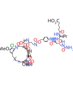 COc1cc2cc(c1Cl)N(C)C(=O)C[C@H](OC(=O)[C@H](C)N(C)C(=O)CCN(C)C(=O)OCc1ccc(NC(=O)[C@H](CCCNC(N)=O)NC(=O)[C@@H](NC(=O)CCCCC(=O)O)C(C)C)cc1)[C@]1(C)O[C@H]1[C@H](C)[C@@H]1C[C@@](O)(NC(=O)O1)[C@H](OC)/C=C/C=C(\C)C2